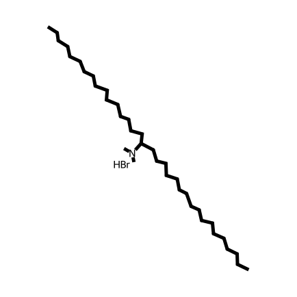 Br.CCCCCCCCCCCCCCCCCC(CCCCCCCCCCCCCCCC)N(C)C